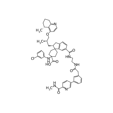 CNC(=O)c1ccc(-c2cccc(CC(=O)NCCNC(=O)c3ccc4c(c3)C3(CCC(Nc5cccc(Cl)c5)(C(=O)O)CC3)[C@@H](C[C@@H](C)COc3ccnc5c3[C@H](C)CCC5)C4)c2)cn1